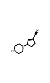 N#CC1=CC(N2CCNCC2)CC1